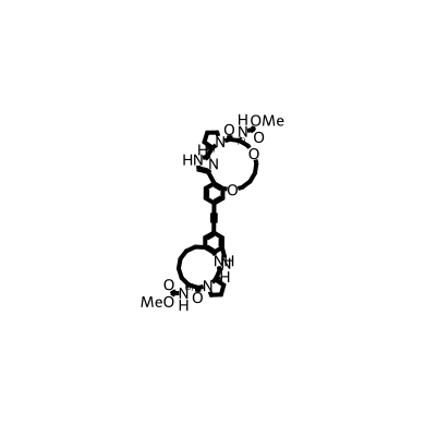 COC(=O)N[C@H]1COCCCCOc2cc(C#Cc3cc4c5[nH]c(nc5c3)[C@@H]3CCCN3C(=O)[C@@H](NC(=O)OC)CCCCC4)ccc2-c2c[nH]c(n2)[C@@H]2CCCN2C1=O